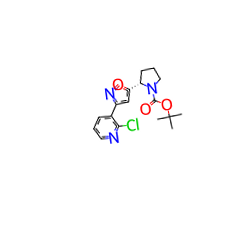 CC(C)(C)OC(=O)N1CCC[C@H]1c1cc(-c2cccnc2Cl)no1